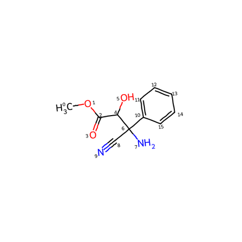 COC(=O)C(O)C(N)(C#N)c1ccccc1